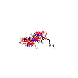 CCCCCC/C=C\CCCOc1cccc(C(=O)N[C@H]2C(O)[C@H](O)C(CO)O[C@H]2O[C@H]2C(O)C(NC(C)=O)C(OC3C(CO)O[C@@H](O[C@H]4C(O)C(NC(C)=O)C(OC5C(CO[C@@H]6OC(C)C(O)[C@H](O)[C@H]6OC)OC(O)[C@@H](NC(C)=O)[C@H]5O)O[C@H]4CO)[C@@H](NC(C)=O)C3O)O[C@H]2CO)c1